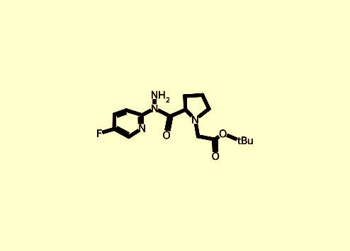 CC(C)(C)OC(=O)CN1CCCC1C(=O)N(N)c1ccc(F)cn1